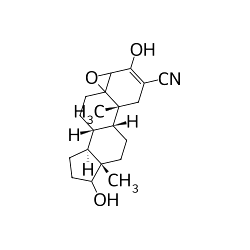 C[C@]12CC[C@@H]3[C@@H](CCC45OC4C(O)=C(C#N)C[C@]35C)[C@@H]1CCC2O